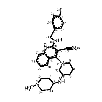 CN1CCC(NC2CCCN(c3c(C#N)c(NCc4ccc(Cl)cc4)nc4ccccc34)C2)CC1